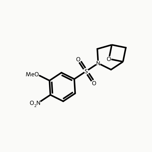 COc1cc(S(=O)(=O)N2CC3CC(C2)O3)ccc1[N+](=O)[O-]